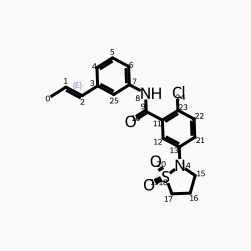 C/C=C/c1cccc(NC(=O)c2cc(N3CCCS3(=O)=O)ccc2Cl)c1